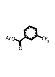 CC(=O)OC(=O)c1cccc(C(F)(F)F)c1